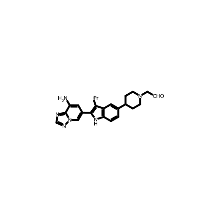 CC(C)c1c(-c2cc(N)c3ncnn3c2)[nH]c2ccc(C3CCN(CC=O)CC3)cc12